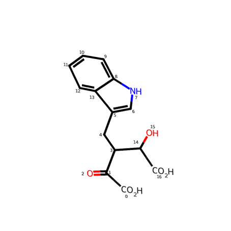 O=C(O)C(=O)C(Cc1c[nH]c2ccccc12)C(O)C(=O)O